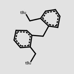 CC(C)(C)Cc1ccccc1Cc1ccccc1CC(C)(C)C